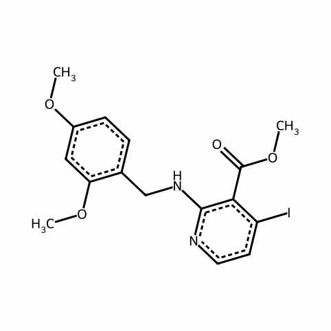 COC(=O)c1c(I)ccnc1NCc1ccc(OC)cc1OC